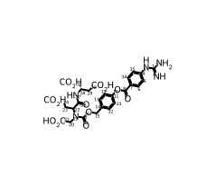 N=C(N)Nc1ccc(C(=O)Oc2ccc(COC(=O)N(CC(=O)O)C(CC(=O)O)C(=O)N[C@@H](CC(=O)O)C(=O)O)cc2)cc1